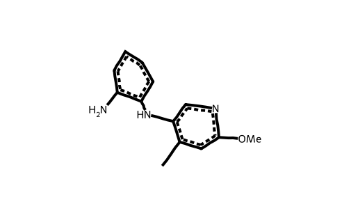 COc1cc(C)c(Nc2ccccc2N)cn1